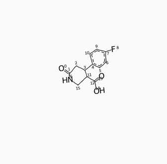 O=C1CC(c2ccc(F)cc2)C(C(=O)O)CN1